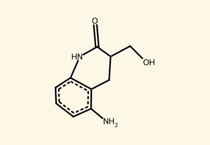 Nc1cccc2c1CC(CO)C(=O)N2